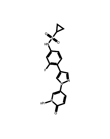 CCCn1cc(-n2cc(-c3ccc(NS(=O)(=O)C4CC4)cc3F)cn2)ccc1=O